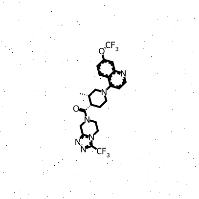 C[C@@H]1CN(c2ccnc3cc(OC(F)(F)F)ccc23)CC[C@@H]1C(=O)N1CCn2c(nnc2C(F)(F)F)C1